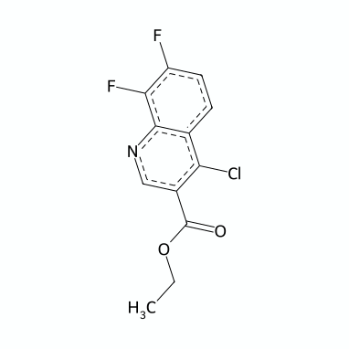 CCOC(=O)c1cnc2c(F)c(F)ccc2c1Cl